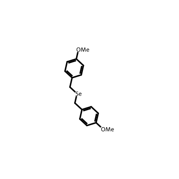 COc1ccc(C[Se]Cc2ccc(OC)cc2)cc1